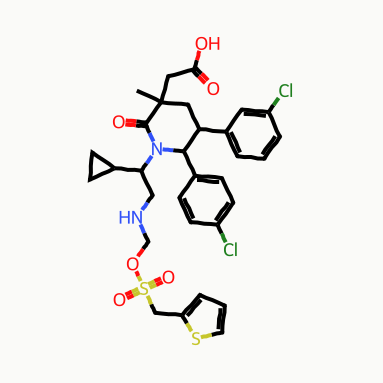 CC1(CC(=O)O)CC(c2cccc(Cl)c2)C(c2ccc(Cl)cc2)N(C(CNCOS(=O)(=O)Cc2cccs2)C2CC2)C1=O